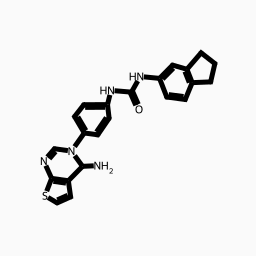 NC1c2ccsc2N=CN1c1ccc(NC(=O)Nc2ccc3c(c2)CCC3)cc1